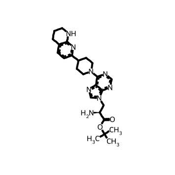 CC(C)(C)OC(=O)[C@@H](N)Cn1cnc2c(N3CCC(c4ccc5c(n4)NCCC5)CC3)ncnc21